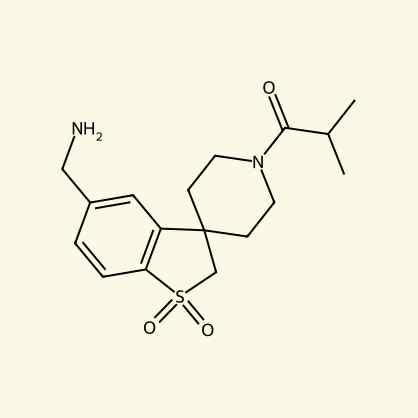 CC(C)C(=O)N1CCC2(CC1)CS(=O)(=O)c1ccc(CN)cc12